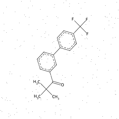 CC(C)(C)C(=O)c1cccc(-c2ccc(C(F)(F)F)cc2)c1